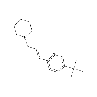 CC(C)(C)c1ccc(/C=C/CN2CCCCC2)nc1